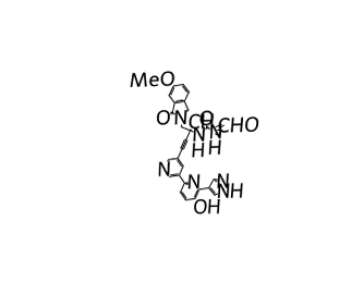 COc1ccc2c(c1)C(=O)N(C[C@@](C)(C#Cc1cncc(-c3ccc(O)c(-c4cn[nH]c4)n3)c1)NC(=O)NC=O)C2